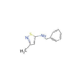 Cc1cc(NCc2ccccc2)sn1